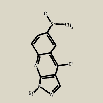 CCn1ncc2c(Cl)c3cc([S+](C)[O-])ccc3nc21